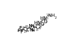 NCCNC(=O)CC(=O)Nc1cccc(-c2nnc(-c3ccc(C(F)(F)F)cc3)nn2)c1